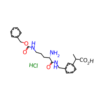 CC(C(=O)O)c1cccc(CNC(=O)[C@@H](N)CCCNC(=O)OCc2ccccc2)c1.Cl